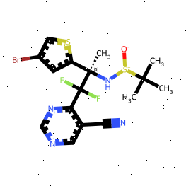 CC(C)(C)[S+]([O-])N[C@](C)(c1cc(Br)cs1)C(F)(F)c1ncncc1C#N